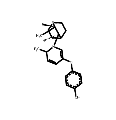 [CH]c1ccc(OC2=CN([C@@H]3C4CCN(CC4)[C@H]3C)C(C(F)(F)F)C=C2)cc1